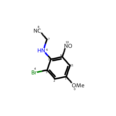 COc1cc(Br)c(NCC#N)c(N=O)c1